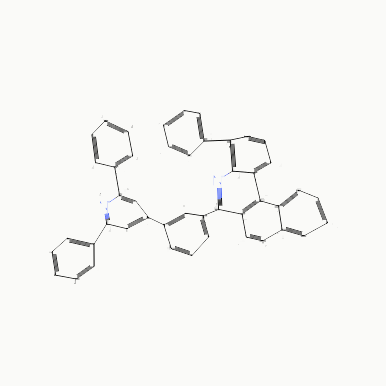 c1ccc(-c2cc(-c3cccc(-c4nc5c(-c6ccccc6)cccc5c5c4ccc4ccccc45)c3)cc(-c3ccccc3)n2)cc1